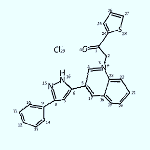 O=C(C[n+]1cc(-c2cc(-c3ccccc3)n[nH]2)cc2ccccc21)c1cccs1.[Cl-]